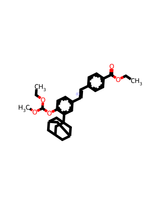 CCOC(=O)c1ccc(/C=C/c2ccc(OC(OC)OCC)c(C34CC5CC(CC(C5)C3)C4)c2)cc1